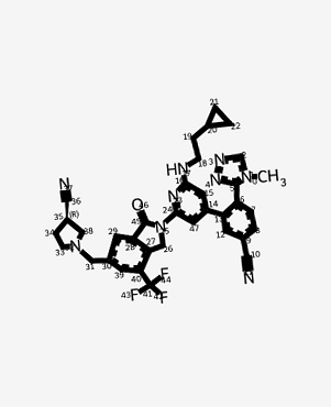 Cn1cnnc1-c1ccc(C#N)cc1-c1cc(NCCC2CC2)nc(N2Cc3c(cc(CN4CC[C@@H](C#N)C4)cc3C(F)(F)F)C2=O)c1